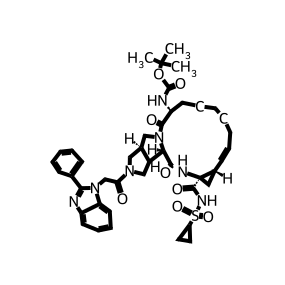 CC(C)(C)OC(=O)N[C@@H]1CCCCC/C=C\[C@@H]2C[C@@]2(C(=O)NS(=O)(=O)C2CC2)NC(=O)[C@@H]2[C@H]3CN(C(=O)Cn4c(-c5ccccc5)nc5ccccc54)C[C@H]3CN2C1=O